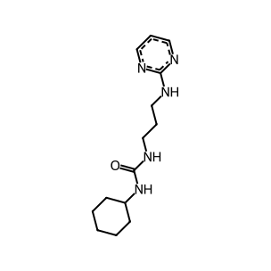 O=C(NCCCNc1ncccn1)NC1CCCCC1